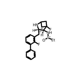 CC[S+]([O-])N[C@@H]1[C@H](Cc2cccc(-c3ccccc3)c2F)NC2CC1(F)C2